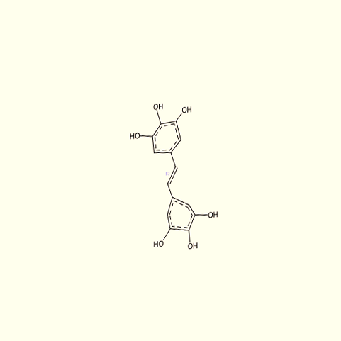 Oc1cc(/C=C/c2cc(O)c(O)c(O)c2)cc(O)c1O